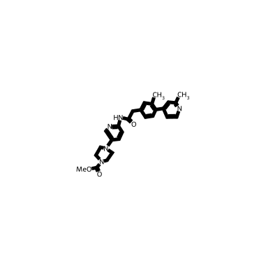 COC(=O)N1CCN(c2ccc(NC(=O)Cc3ccc(-c4ccnc(C)c4)c(C)c3)nc2)CC1